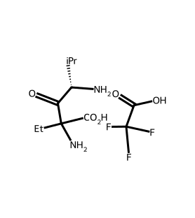 CCC(N)(C(=O)O)C(=O)[C@@H](N)C(C)C.O=C(O)C(F)(F)F